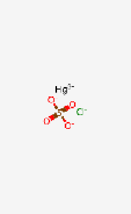 O=S(=O)([O-])[O-].[Cl-].[Hg+3]